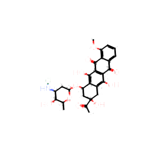 COc1cccc2c1C(=O)c1c(O)c3c(c(O)c1C2=O)CC(O)(C(C)=O)CC3OC1CC(NCl)C(O)C(C)O1